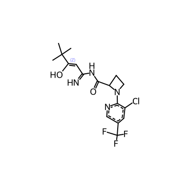 CC(C)(C)/C(O)=C/C(=N)NC(=O)C1CCN1c1ncc(C(F)(F)F)cc1Cl